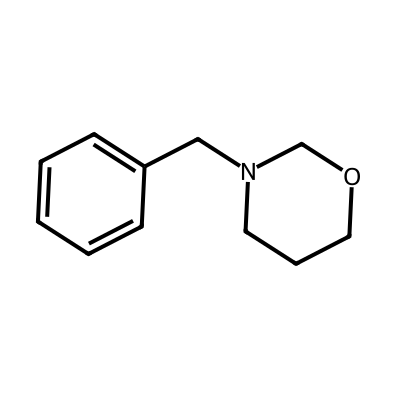 c1ccc(CN2CCCOC2)cc1